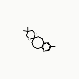 Cc1cnc2c(c1)CCC1(CCC2)OCC(C)(C)CO1